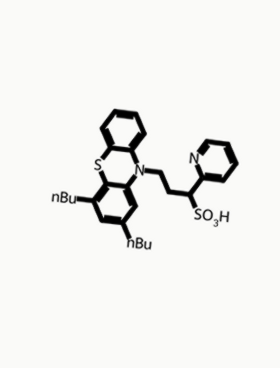 CCCCc1cc(CCCC)c2c(c1)N(CCC(c1ccccn1)S(=O)(=O)O)c1ccccc1S2